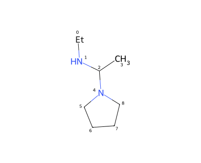 [CH2]CNC(C)N1CCCC1